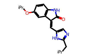 CC(C)Cc1ncc(C=C2C(=O)Nc3ccc(OC(C)C)cc32)[nH]1